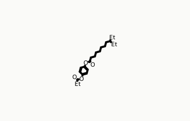 CCC(=O)Oc1ccc(OC(=O)CCCCCCCC(CC)CC)cc1